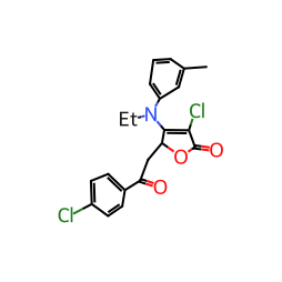 CCN(C1=C(Cl)C(=O)OC1CC(=O)c1ccc(Cl)cc1)c1cccc(C)c1